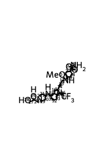 COc1cc(S(N)(=O)=O)ccc1NCC#Cc1cc2c(NC3CCN(CC(O)CO)CC3)cccc2n1CC(F)(F)F